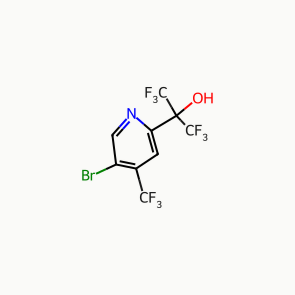 OC(c1cc(C(F)(F)F)c(Br)cn1)(C(F)(F)F)C(F)(F)F